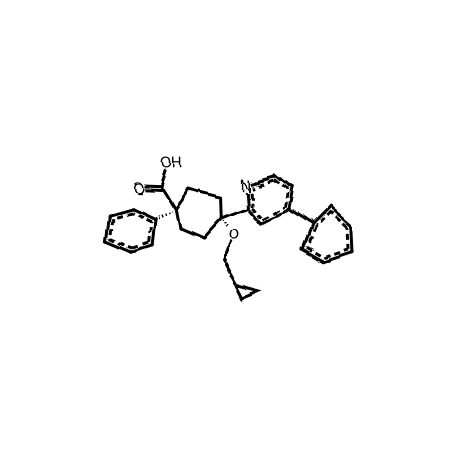 O=C(O)[C@]1(c2ccccc2)CC[C@](OCC2CC2)(c2cc(-c3ccccc3)ccn2)CC1